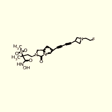 CC(CCN1Cc2cc(C#CC#CC3CN(CCF)C3)cn2C1=O)(C(=O)NO)S(C)(=O)=O